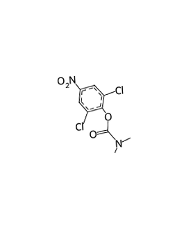 CN(C)C(=O)Oc1c(Cl)cc([N+](=O)[O-])cc1Cl